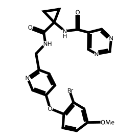 COc1ccc(Oc2ccc(CNC(=O)C3(NC(=O)c4cncnc4)CC3)nc2)c(Br)c1